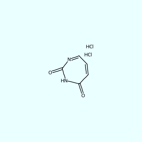 Cl.Cl.O=c1cccnc(=O)[nH]1